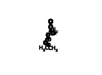 CC(C)Oc1cccc(CC(=O)N2CC[C@@](CCN3CCN(C4CCCCC4)CC3)(c3ccc(F)c(F)c3)C2)c1